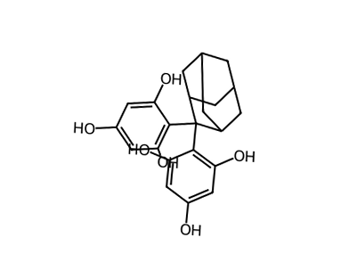 Oc1cc(O)c(C2(c3c(O)cc(O)cc3O)C3CC4CC(C3)CC2C4)c(O)c1